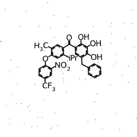 Cc1cc(C(=O)c2cc(Cc3ccccc3)c(O)c(O)c2O)c(C(C)C)cc1Oc1ccc(C(F)(F)F)cc1[N+](=O)[O-]